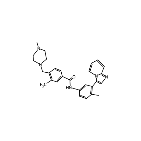 Cc1ccc(NC(=O)c2ccc(CN3CCN(C)CC3)c(C(F)(F)F)c2)cc1-c1cnc2ccccn12